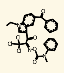 CCn1cc(C(=O)/C(=N\OC(=O)N(C)c2ccccc2)C(Cl)(Cl)Cl)c2cc(C(=O)c3ccccc3)ccc21